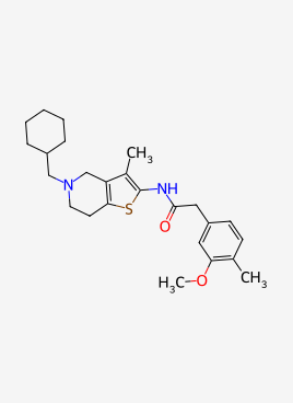 COc1cc(CC(=O)Nc2sc3c(c2C)CN(CC2CCCCC2)CC3)ccc1C